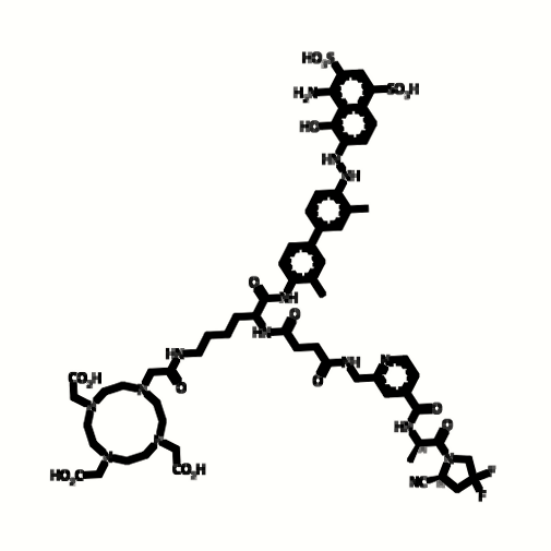 Cc1cc(-c2ccc(NC(=O)C(CCCCNC(=O)CN3CCN(CC(=O)O)CCN(CC(=O)O)CCN(CC(=O)O)CC3)NC(=O)CCC(=O)NCc3cc(C(=O)N[C@H](C)C(=O)N4CC(F)(F)C[C@H]4C#N)ccn3)c(C)c2)ccc1NNc1ccc2c(S(=O)(=O)O)cc(S(=O)(=O)O)c(N)c2c1O